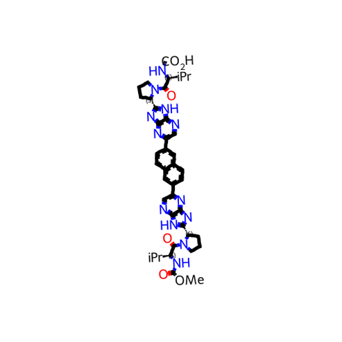 COC(=O)N[C@H](C(=O)N1CCC[C@H]1c1nc2nc(-c3ccc4cc(-c5cnc6[nH]c([C@@H]7CCCN7C(=O)[C@@H](NC(=O)O)C(C)C)nc6n5)ccc4c3)cnc2[nH]1)C(C)C